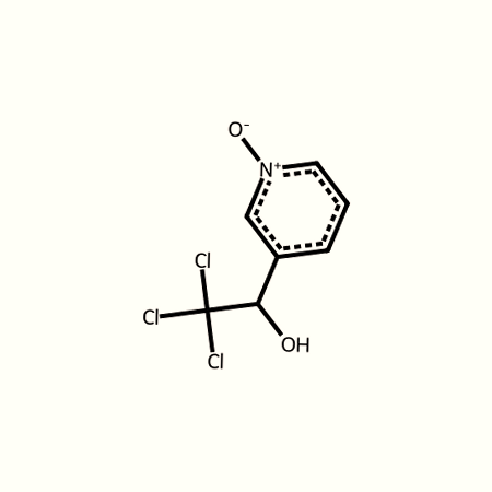 [O-][n+]1cccc(C(O)C(Cl)(Cl)Cl)c1